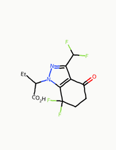 CCC(C(=O)O)n1nc(C(F)F)c2c1C(F)(F)CCC2=O